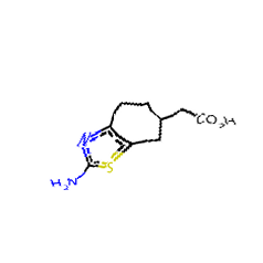 Nc1nc2c(s1)CC(CC(=O)O)CC2